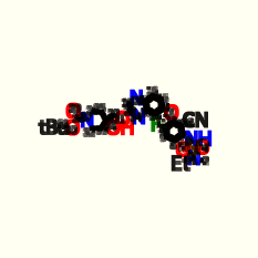 CCN(C)S(=O)(=O)Nc1ccc(F)c(Oc2ccc3ncc(OCC4(O)CCN(C(=O)OC(C)(C)C)CC4)nc3c2)c1C#N